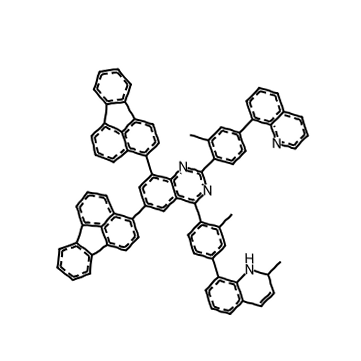 Cc1cc(-c2cccc3cccnc23)ccc1-c1nc(-c2ccc(-c3cccc4c3NC(C)C=C4)cc2C)c2cc(-c3ccc4c5c(cccc35)-c3ccccc3-4)cc(-c3ccc4c5c(cccc35)-c3ccccc3-4)c2n1